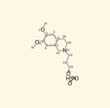 COc1cc2c(cc1OC)CN(CCCO[SH](=O)=O)CC2